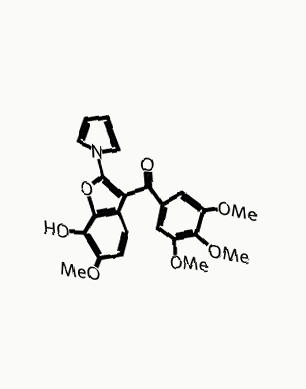 COc1cc(C(=O)c2c(-n3cccc3)oc3c(O)c(OC)ccc23)cc(OC)c1OC